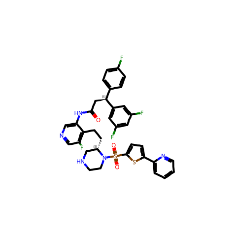 O=C(C[C@@H](c1ccc(F)cc1)c1cc(F)cc(F)c1)Nc1cncc(F)c1CC[C@H]1CNCCN1S(=O)(=O)c1ccc(-c2ccccn2)s1